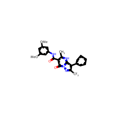 COc1cc(NC(=O)c2c(C)[nH]c3c(-c4ccccc4)c(C(F)(F)F)nn3c2=O)cc(OC)c1